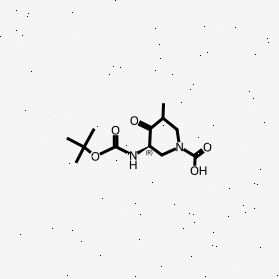 CC1CN(C(=O)O)C[C@@H](NC(=O)OC(C)(C)C)C1=O